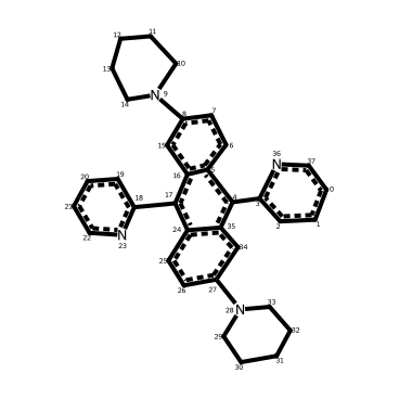 c1ccc(-c2c3ccc(N4CCCCC4)cc3c(-c3ccccn3)c3ccc(N4CCCCC4)cc23)nc1